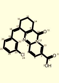 O=C(O)c1ccc2nc3c(c(=O)n2c1)CCC/C3=C/c1cccc(Cl)c1